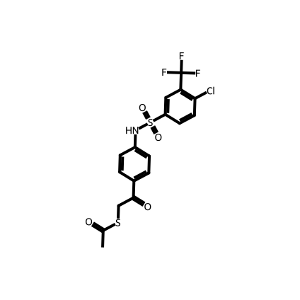 CC(=O)SCC(=O)c1ccc(NS(=O)(=O)c2ccc(Cl)c(C(F)(F)F)c2)cc1